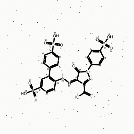 O=C(O)C1=NN(c2ccc(S(=O)(=O)O)cc2)C(=O)C1=NNc1ccc(S(=O)(=O)O)cc1-c1ccc(S(=O)(=O)O)cc1